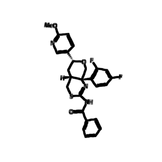 COc1ccc([C@H]2C[C@H]3CSC(NC(=O)c4ccccc4)=N[C@@]3(c3ccc(F)cc3F)CO2)cn1